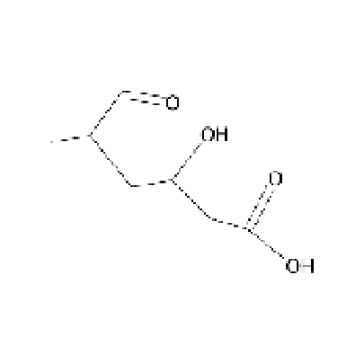 CC(C=O)CC(O)CC(=O)O